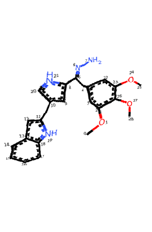 COc1cc(C(=NN)c2cc(-c3cc4ccccc4[nH]3)c[nH]2)cc(OC)c1OC